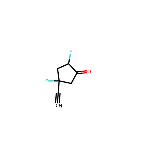 C#CC1(F)CC(=O)C(F)C1